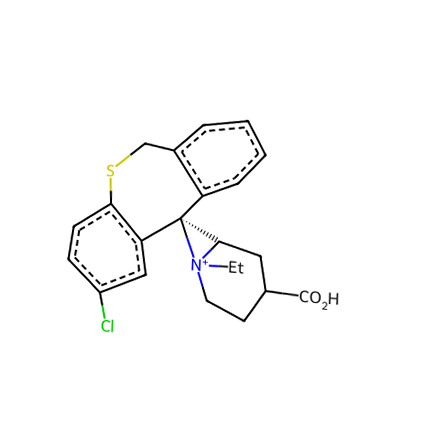 CC[N+]12CCC(C(=O)O)CC1[C@]21c2ccccc2CSc2ccc(Cl)cc21